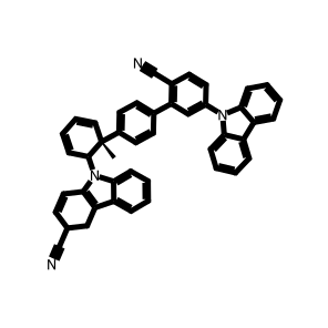 C[C@]1(c2ccc(-c3cc(-n4c5ccccc5c5ccccc54)ccc3C#N)cc2)C=CC=CC1n1c2c(c3ccccc31)CC(C#N)C=C2